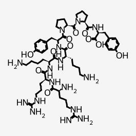 N=C(N)NCCC[C@H](NC(=O)[C@@H](N)CCCNC(=N)N)C(=O)N[C@@H](CCCCN)C(=O)N[C@@H](CCCCN)C(=O)N[C@@H](Cc1ccc(O)cc1)C(=O)N1CCC[C@H]1C(=O)N1CCC[C@H]1C(=O)N[C@@H](Cc1ccc(O)cc1)C(=O)O